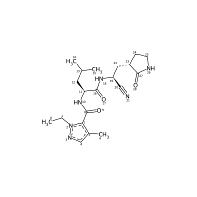 CCn1ncc(C)c1C(=O)N[C@@H](CC(C)C)C(=O)N[C@H](C#N)C[C@@H]1CCNC1=O